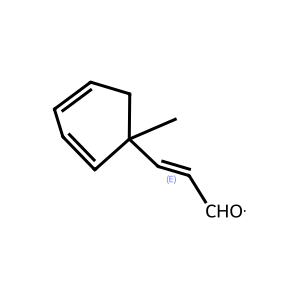 CC1(/C=C/[C]=O)C=CC=CC1